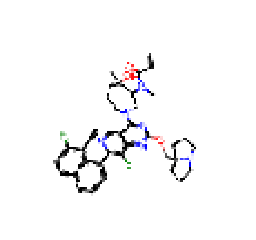 C#Cc1c(F)ccc2cccc(-c3ncc4c(N5CCCC(C)(O)C(N(C)C(=O)C=C)C5)nc(OCC56CCCN5CCC6)nc4c3F)c12